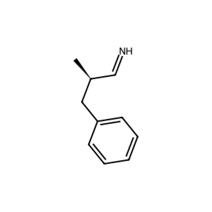 C[C@@H](C=N)Cc1ccccc1